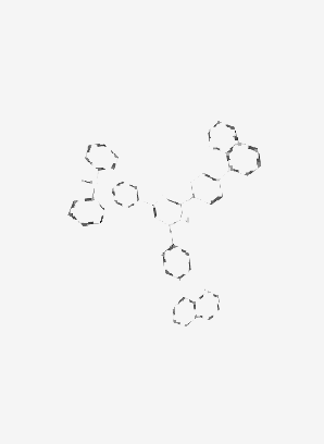 O=P(c1ccccc1)(c1ccccc1)c1ccc(C2=CC(c3ccc(-c4cccc5cccnc45)cc3)NC(C3C=CC(c4cccc5cccnc45)=CC3)=N2)cc1